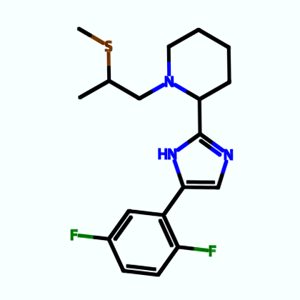 CSC(C)CN1CCCCC1c1ncc(-c2cc(F)ccc2F)[nH]1